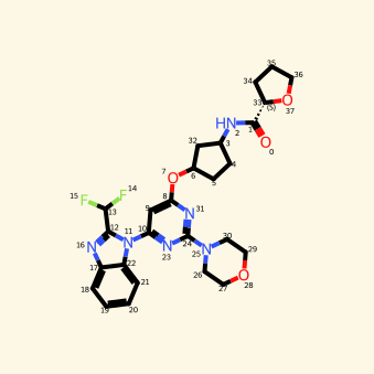 O=C(NC1CCC(Oc2cc(-n3c(C(F)F)nc4ccccc43)nc(N3CCOCC3)n2)C1)[C@@H]1CCCO1